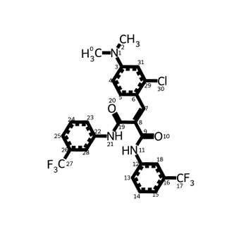 CN(C)c1ccc(C=C(C(=O)Nc2cccc(C(F)(F)F)c2)C(=O)Nc2cccc(C(F)(F)F)c2)c(Cl)c1